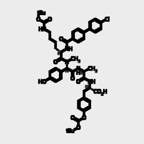 C[C@H](NC(=O)[C@H](c1ccc(O)cc1)N(C)C(=O)[C@H](CCCCNC(=O)OC(C)(C)C)NC(=O)c1ccc(-c2ccc(Cl)cc2)cc1)C(=O)N[C@@H](Cc1ccc(OC(=O)OC(C)(C)C)cc1)C(=O)O